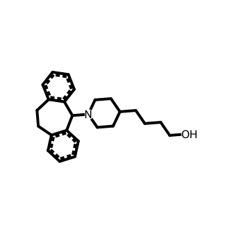 OCCCCC1CCN(C2c3ccccc3CCc3ccccc32)CC1